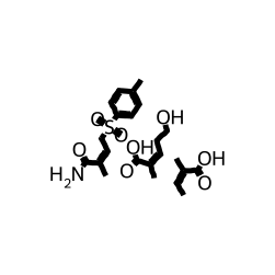 CC(=CCCO)C(=O)O.CC(=CCS(=O)(=O)c1ccc(C)cc1)C(N)=O.CC=C(C)C(=O)O